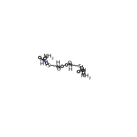 C=C1C=C(SCCCCCCNC(=O)c2ccc(-c3ccc(C(=O)NCCCCCCSc4cc5c(cc4C)nc4cc(C)c(N)cc4[n+]5-c4ccccc4)cc3)cc2)C(C)=C/C1=N/c1cc(C)c(N)cc1Nc1ccccc1